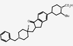 CC(C)(C)C1CC(c2ccc3c(c2)CC(CC2(F)CCN(Cc4ccccc4)CC2)C3=O)CCN1C(=O)O